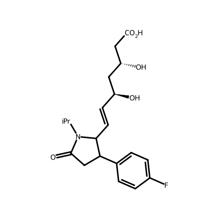 CC(C)N1C(=O)CC(c2ccc(F)cc2)C1C=C[C@H](O)C[C@@H](O)CC(=O)O